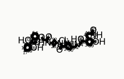 O=C(COc1cccc([C@](O)(C(=O)O)c2ccccc2)c1)NC1CC(NC(=O)c2ccc(CNC[C@H](O)c3ccc(O)c4[nH]c(=O)ccc34)cc2Cl)C1